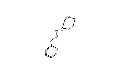 c1ccc(CON[C@H]2CCCNC2)cc1